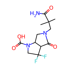 CC(C)(CN1CC2C(C1=O)C(F)(F)CN2C(=O)O)C(N)=O